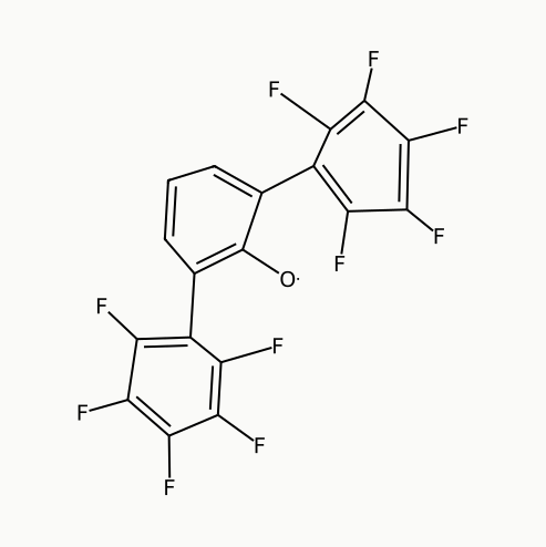 [O]c1c(-c2c(F)c(F)c(F)c(F)c2F)cccc1-c1c(F)c(F)c(F)c(F)c1F